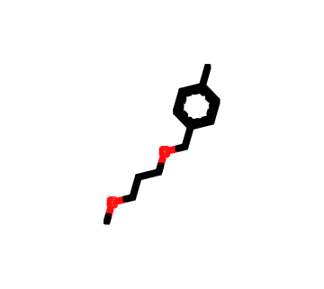 COCCCOCc1ccc(C)cc1